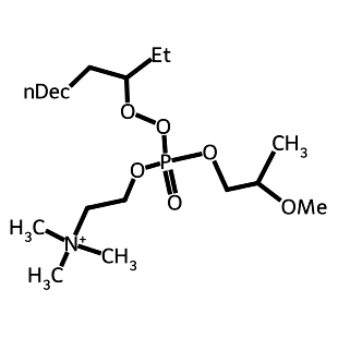 CCCCCCCCCCCC(CC)OOP(=O)(OCC[N+](C)(C)C)OCC(C)OC